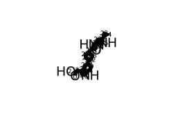 O=C(O)Cc1c[nH]c2ccc(-c3ccc(CC(=O)Nc4cc(C5CC5)[nH]n4)cc3)cc12